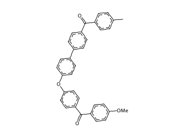 COc1ccc(C(=O)c2ccc(Oc3ccc(-c4ccc(C(=O)c5ccc(C)cc5)cc4)cc3)cc2)cc1